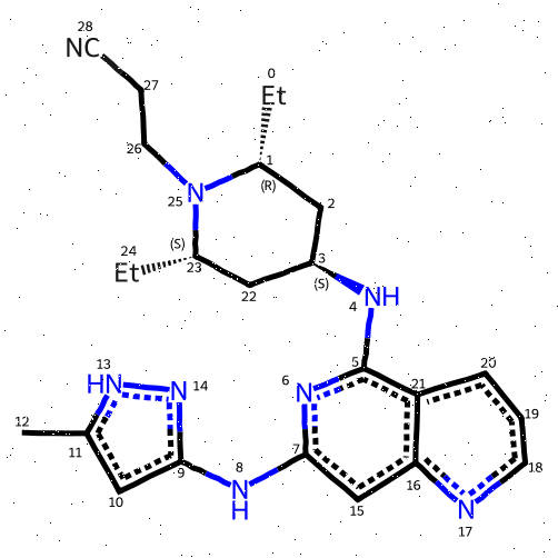 CC[C@@H]1C[C@@H](Nc2nc(Nc3cc(C)[nH]n3)cc3ncccc23)C[C@H](CC)N1CCC#N